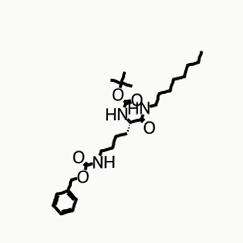 CCCCCCCCNC(=O)[C@H](CCCCNC(=O)OCc1ccccc1)NC(=O)OC(C)(C)C